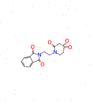 O=C1CS(=O)(=O)CCN1CCN1C(=O)c2ccccc2C1=O